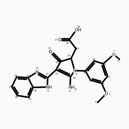 COc1cc(OC)cc(N2C(N)=C(c3nc4ccccc4[nH]3)C(=O)C2CC(=O)O)c1